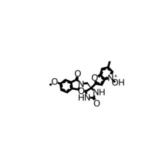 COc1ccc2c(c1)C(=O)N(C[C@@]1(c3cc4c(cc(C)c[n+]4O)o3)NC(=O)NC1=O)C2